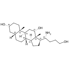 C[C@]12CC[C@@H](O)C[C@H]1CC[C@@H]1[C@@H]2C[C@H](O)[C@]2(C)[C@@H]([C@H](N)CCCO)CC[C@@H]12